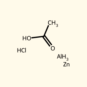 CC(=O)O.Cl.[AlH3].[Zn]